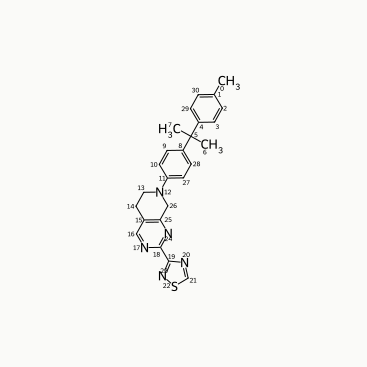 Cc1ccc(C(C)(C)c2ccc(N3CCc4cnc(-c5ncsn5)nc4C3)cc2)cc1